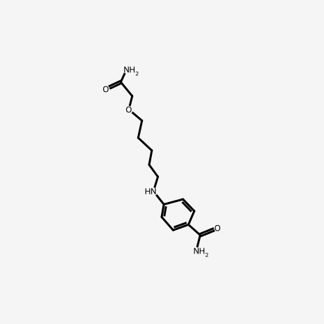 NC(=O)COCCCCCNc1ccc(C(N)=O)cc1